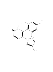 CCn1c(-c2c(F)cc(F)cc2F)c(-n2cc(Br)cn2)ccc1=O